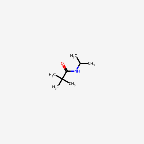 CC(C)NC(=O)C(C)(C)C